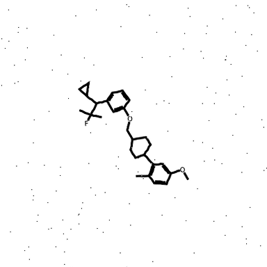 COc1ccc(C)c(C2CCC(COc3cccc(C(C4CC4)C(C)(C)F)c3)CC2)c1